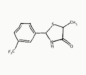 CC1SC(c2cccc(C(F)(F)F)c2)NC1=O